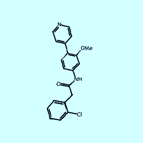 COc1cc(NC(=O)Cc2ccccc2Cl)ccc1-c1ccncc1